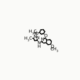 COc1cccc(Oc2nc(Nc3cc(C)[nH]n3)cc3cc(OC)ccc23)c1